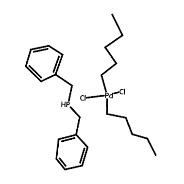 CCCC[CH2][Pd]([Cl])([Cl])[CH2]CCCC.c1ccc(CPCc2ccccc2)cc1